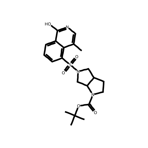 Cc1cnc(O)c2cccc(S(=O)(=O)N3CC4CCN(C(=O)OC(C)(C)C)C4C3)c12